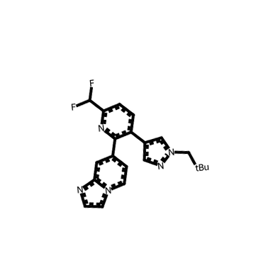 CC(C)(C)Cn1cc(-c2ccc(C(F)F)nc2-c2ccn3ccnc3c2)cn1